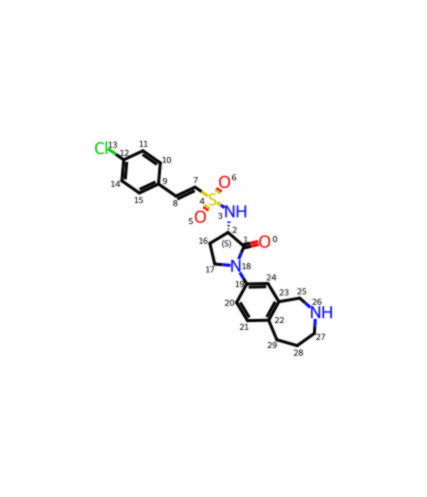 O=C1[C@@H](NS(=O)(=O)C=Cc2ccc(Cl)cc2)CCN1c1ccc2c(c1)CNCCC2